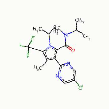 Cc1c(-c2ncc(Cl)cn2)c(C(=O)N(C)C(C)C)n(C(C)C)c1C(F)(F)F